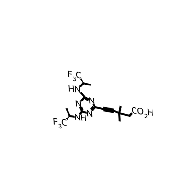 C[C@@H](Nc1nc(C#CC(C)(C)CC(=O)O)nc(N[C@H](C)C(F)(F)F)n1)C(F)(F)F